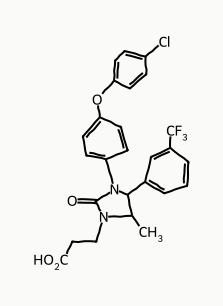 CC1C(c2cccc(C(F)(F)F)c2)N(c2ccc(Oc3ccc(Cl)cc3)cc2)C(=O)N1CCC(=O)O